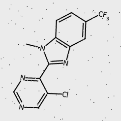 Cn1c(-c2ncncc2Cl)nc2cc(C(F)(F)F)ccc21